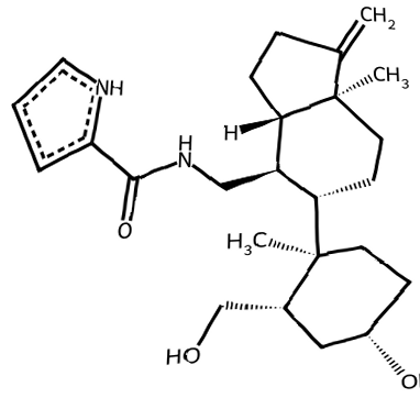 C=C1CC[C@H]2[C@H](CNC(=O)c3ccc[nH]3)[C@@H]([C@@]3(C)CC[C@H](O)C[C@@H]3CO)CC[C@]12C